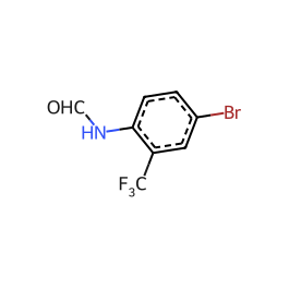 O=CNc1ccc(Br)cc1C(F)(F)F